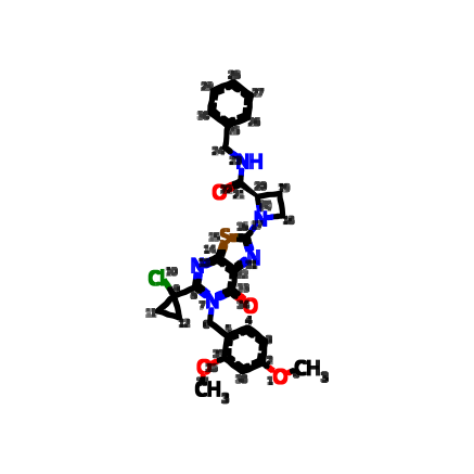 COc1ccc(Cn2c(C3(Cl)CC3)nc3sc(N4CC[C@@H]4C(=O)NCc4ccccc4)nc3c2=O)c(OC)c1